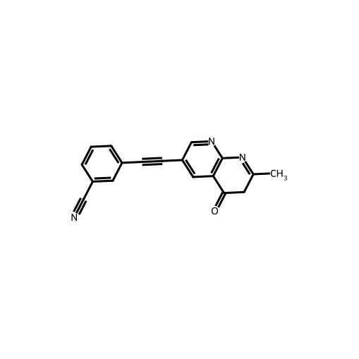 CC1=Nc2ncc(C#Cc3cccc(C#N)c3)cc2C(=O)C1